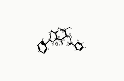 C[C@@H]1OC2COC(c3ccccc3)O[C@@H]2[C@H](C)C1OC(=O)c1ccccc1